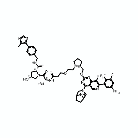 Cc1ncsc1-c1ccc(CNC(=O)[C@H]2C[C@H](O)CN2C(=O)[C@H](NC(=O)CCOCCN2CCC[C@H]2COc2nc(N3CC4CCC(C3)N4)c3cnc(-c4cc(N)cc(Cl)c4C(F)(F)F)c(F)c3n2)C(C)(C)C)cc1